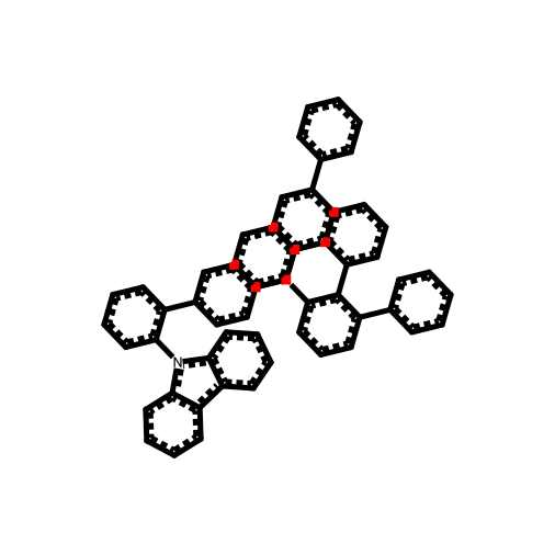 c1ccc(-c2ccc(N(c3ccc(-c4ccccc4-n4c5ccccc5c5ccccc54)cc3)c3cccc(-c4ccccc4)c3-c3ccccc3-c3ccccc3)cc2)cc1